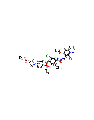 CSc1cc(C)[nH]c(=O)c1CNC(=O)c1cc(Cl)c2c(c1C)OC(C)(C1CCC(N3CC(OCC4CC4)C3)CC1)O2